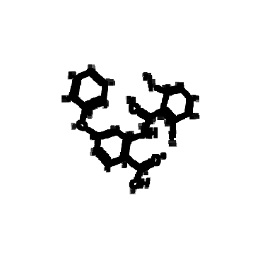 O=C(O)c1ccc(Oc2ccccc2)cc1NC(=O)c1c(F)cccc1F